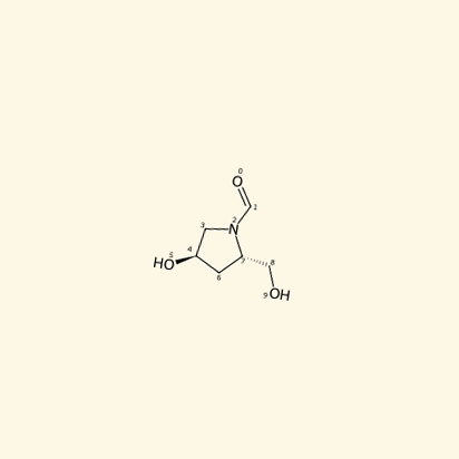 O=CN1C[C@H](O)C[C@H]1CO